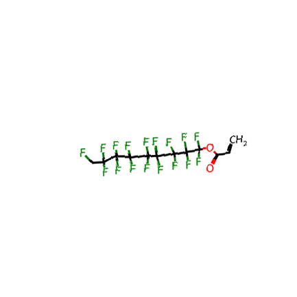 C=CC(=O)OC(F)(F)C(F)(F)C(F)(F)C(F)(F)C(F)(F)C(F)(F)C(F)(F)C(F)(F)CF